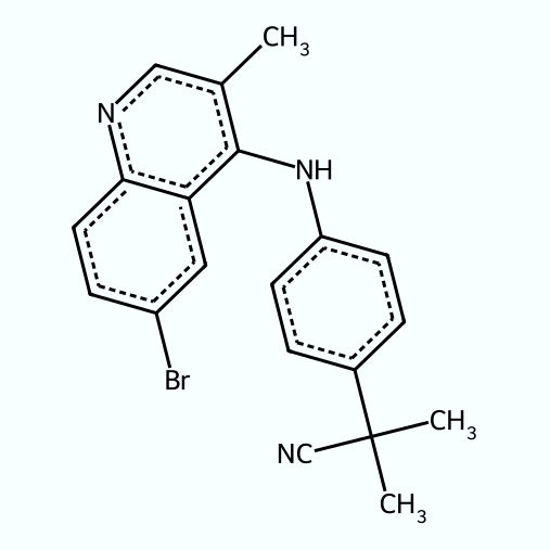 Cc1cnc2ccc(Br)cc2c1Nc1ccc(C(C)(C)C#N)cc1